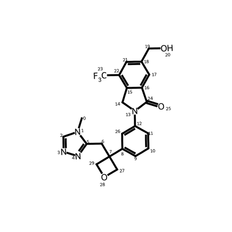 Cn1cnnc1CC1(c2cccc(N3Cc4c(cc(CO)cc4C(F)(F)F)C3=O)c2)COC1